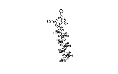 O=C(OCc1ccccc1)C(=O)c1cc(C(=O)C(=O)OCc2ccccc2)c(C(=O)NC(CS(=O)(=O)O)C(=O)N[C@H](CS(=O)(=O)O)C(=O)N[C@H](CS(=O)(=O)O)C(=O)N[C@H](CS(=O)(=O)O)C(=O)N[C@H](CS(=O)(=O)O)C(=O)N[C@H](CS(=O)(=O)O)C(=O)N[C@H](CS(=O)(=O)O)C(=O)O)cc1C(=O)O